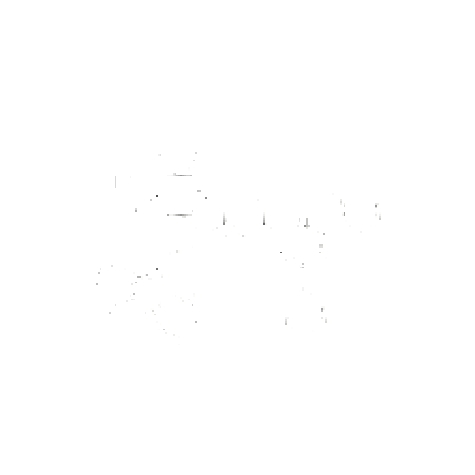 CC1(C)c2cscc2-n2c3ccc(-c4nc(-c5ccccc5)nc(-c5ccccc5)n4)cc3c3cc(-n4c5ccccc5c5ccccc54)cc1c32